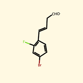 O=[C]CC=Cc1ccc(Br)cc1F